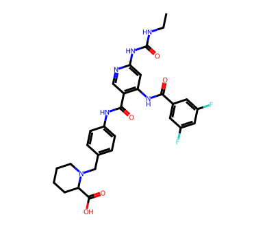 CCNC(=O)Nc1cc(NC(=O)c2cc(F)cc(F)c2)c(C(=O)Nc2ccc(CN3CCCCC3C(=O)O)cc2)cn1